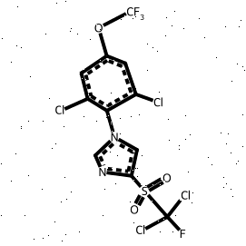 O=S(=O)(c1cn(-c2c(Cl)cc(OC(F)(F)F)cc2Cl)cn1)C(F)(Cl)Cl